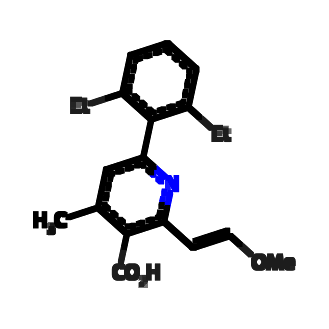 CCc1cccc(CC)c1-c1cc(C)c(C(=O)O)c(C=COC)n1